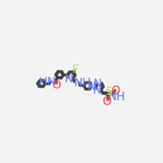 O=C1NC(=O)/C(=C/c2ccnc(N3CCC(CNCc4cc(F)cc(-c5cccc(C(=O)NCc6ccccc6)c5)n4)CC3)n2)S1